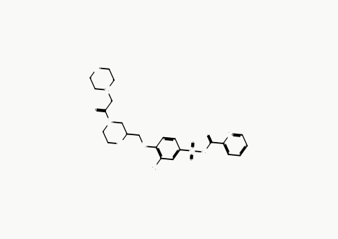 O=C(NS(=O)(=O)c1ccc(NCC2CN(C(=O)CN3CCOCC3)CCO2)c([N+](=O)[O-])c1)c1ccccn1